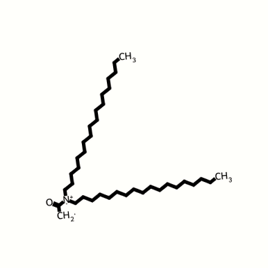 [CH2]C(=O)[N+](CCCCCCCCCCCCCCCCCC)CCCCCCCCCCCCCCCCCC